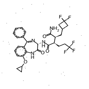 NC(=O)[C@@H](CC1CC(F)(F)C1)[C@@H](CCC(F)(F)F)C(=O)N[C@H]1N=C(c2ccccc2)c2cccc(OC3CC3)c2NC1=O